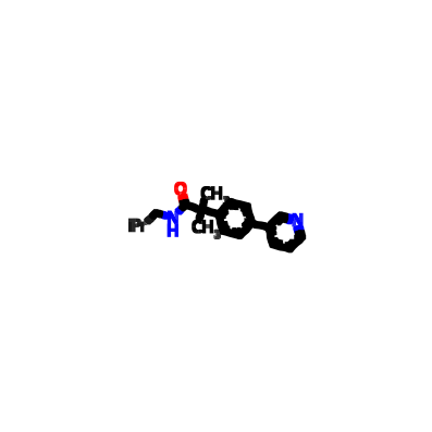 CC(C)CNC(=O)C(C)(C)c1ccc(-c2cccnc2)cc1